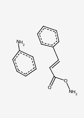 NOC(=O)C=Cc1ccccc1.Nc1ccccc1